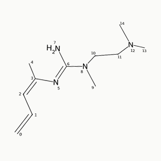 C=C/C=C(C)\N=C(/N)N(C)CCN(C)C